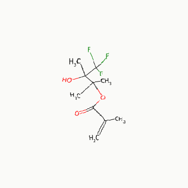 C=C(C)C(=O)OC(C)(C)C(C)(O)C(F)(F)F